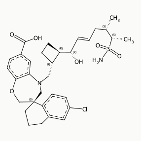 C[C@@H](CC=C[C@H](O)[C@@H]1CC[C@H]1CN1C[C@@]2(CCCc3cc(Cl)ccc32)COc2ccc(C(=O)O)cc21)[C@H](C)S(N)(=O)=O